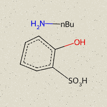 CCCCN.O=S(=O)(O)c1ccccc1O